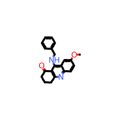 COc1ccc2nc3c(c(NCc4ccccc4)c2c1)C(=O)CCC3